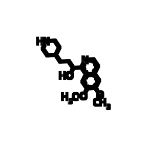 COc1cc2ccnc(C(O)CCC3CCNCC3)c2cc1OC